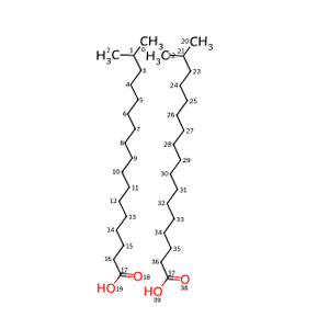 CC(C)CCCCCCCCCCCCCCC(=O)O.CC(C)CCCCCCCCCCCCCCC(=O)O